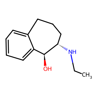 CCN[C@H]1CCCc2ccccc2[C@@H]1O